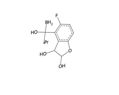 BC(O)(c1c(F)ccc2c1C(O)C(O)O2)C(C)C